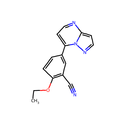 CCOc1ccc(-c2ccnc3ccnn23)cc1C#N